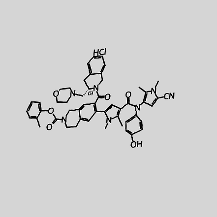 Cc1ccccc1OC(=O)N1CCc2cc(-c3cc(C(=O)N(c4ccc(O)cc4)c4cc(C#N)n(C)c4C)c(C)n3C)c(C(=O)N3Cc4ccccc4C[C@H]3CN3CCOCC3)cc2C1.Cl